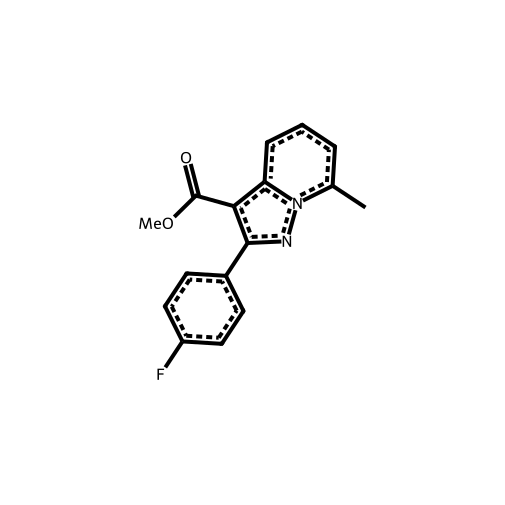 COC(=O)c1c(-c2ccc(F)cc2)nn2c(C)cccc12